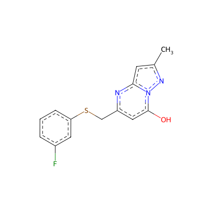 Cc1cc2nc(CSc3cccc(F)c3)cc(O)n2n1